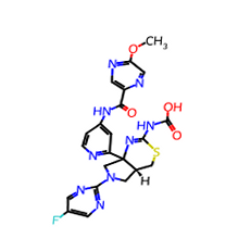 COc1cnc(C(=O)Nc2ccnc(C34CN(c5ncc(F)cn5)C[C@H]3CSC(NC(=O)O)=N4)c2)cn1